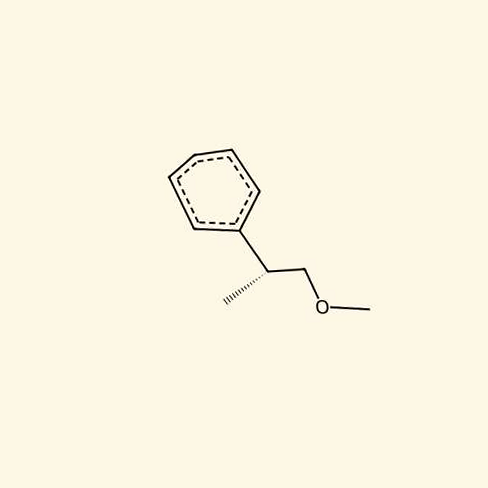 COC[C@H](C)c1ccccc1